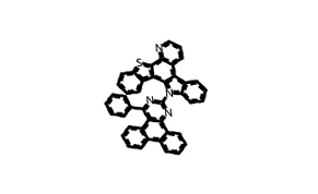 c1ccc(-c2nc(-n3c4ccccc4c4c5cccnc5c5sc6ccccc6c5c43)nc3c4ccccc4c4ccccc4c23)cc1